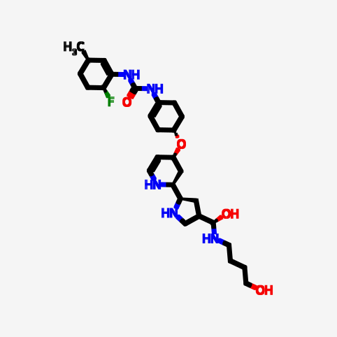 C[C@H]1C=C(NC(=O)NC2=CC[C@@H](O[C@@H]3C=CN[C@H]([C@H]4CC([C@@H](O)NCCCCO)CN4)C3)CC2)[C@@H](F)CC1